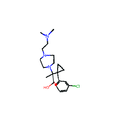 CN(C)CCN1CCN(C(C)(C(=O)O)C2(c3cccc(Cl)c3)CC2)CC1